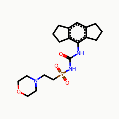 O=C(Nc1c2c(cc3c1CCC3)CCC2)NS(=O)(=O)CCN1CCOCC1